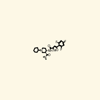 CN(C)C(=O)[C@H]1CN(C2CCCCC2)CC[C@@H]1NC(=O)c1cc(-c2c(F)cc(F)cc2F)on1